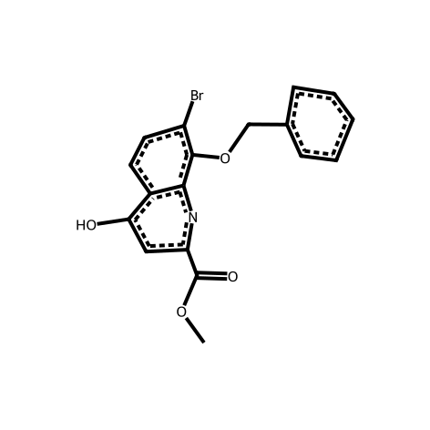 COC(=O)c1cc(O)c2ccc(Br)c(OCc3ccccc3)c2n1